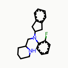 Fc1ccccc1N(CC1CCCCN1)C1Cc2ccccc2C1